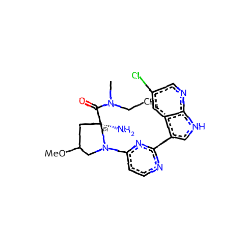 COC1CN(c2ccnc(-c3c[nH]c4ncc(Cl)cc34)n2)[C@](N)(C(=O)N(C)CC(F)(F)F)C1